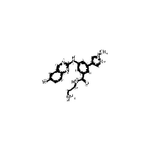 Cn1cc(-c2cc(Nc3ncc4cc(Br)ccc4n3)cc(C(=O)NCCN)c2)cn1